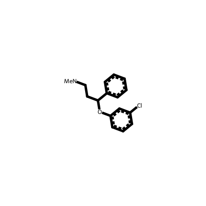 CNCCC(Oc1cccc(Cl)c1)c1ccccc1